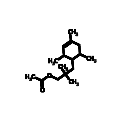 CC(=O)OCC(C)(C)CC1C(C)C=C(C)CC1C